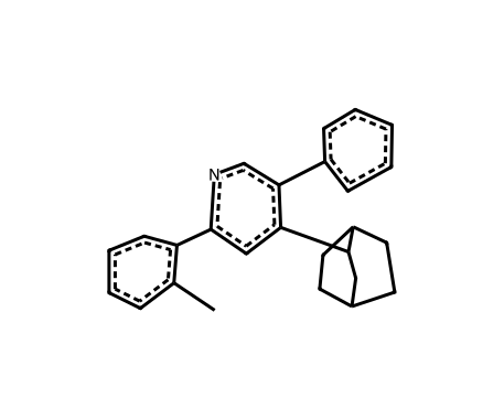 Cc1ccccc1-c1cc(C2CC3CCC2CC3)c(-c2ccccc2)cn1